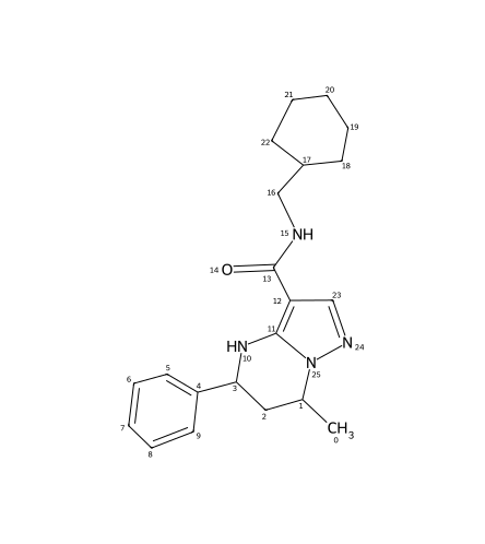 CC1CC(c2ccccc2)Nc2c(C(=O)NCC3CCCCC3)cnn21